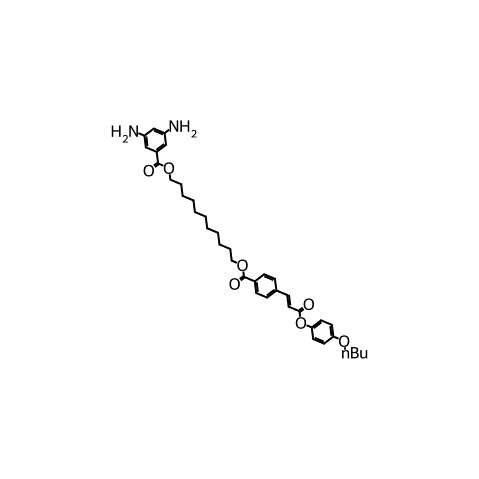 CCCCOc1ccc(OC(=O)/C=C/c2ccc(C(=O)OCCCCCCCCCCCOC(=O)c3cc(N)cc(N)c3)cc2)cc1